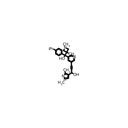 Cc1nn(C)cc1C(O)C#Cc1cncc(C(O)(c2ccc(C(C)C)cc2)C2(C)CN(C)C2)c1